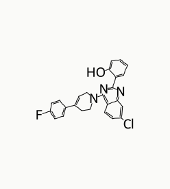 Oc1ccccc1-c1nc(N2CC=C(c3ccc(F)cc3)CC2)c2ccc(Cl)cc2n1